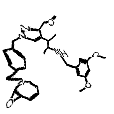 COCc1nn(Cc2ccc(CN3C=CC=CC4OC43)cc2)cc1C(C)C(C)NCc1cc(OC)cc(OC)c1